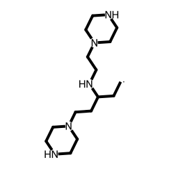 [CH2]CC(CCN1CCNCC1)NCCN1CCNCC1